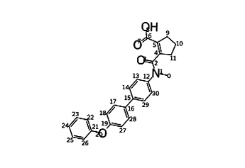 CN(C(=O)C1=C(C(=O)O)CCC1)c1ccc(-c2ccc(Oc3ccccc3)cc2)cc1